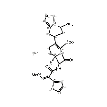 CO/N=C(\C(=O)NC1C(=O)N2C(C(=O)[O-])=C(C(CCN)Sc3nnn[nH]3)CS[C@@H]12)c1ccco1.[Na+]